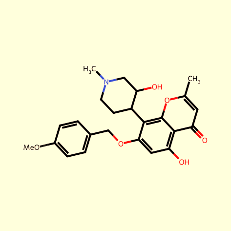 COc1ccc(COc2cc(O)c3c(=O)cc(C)oc3c2C2CCN(C)CC2O)cc1